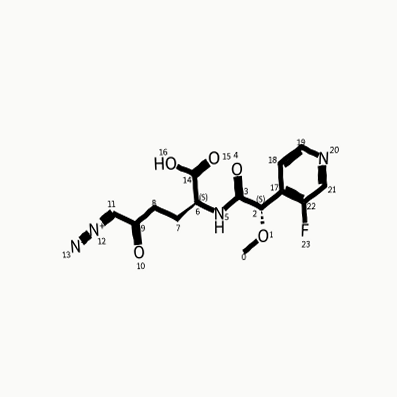 CO[C@H](C(=O)N[C@@H](CCC(=O)C=[N+]=[N-])C(=O)O)c1ccncc1F